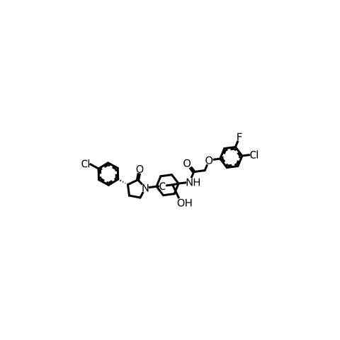 O=C(COc1ccc(Cl)c(F)c1)NC12CCC(N3CC[C@H](c4ccc(Cl)cc4)C3=O)(CC1)CC2O